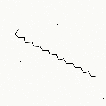 CCCCCCCCCCCCCCCCC[CH]CCC(C)C